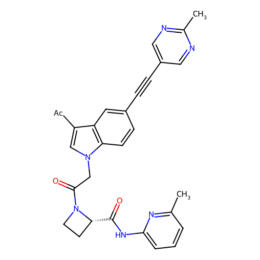 CC(=O)c1cn(CC(=O)N2CC[C@H]2C(=O)Nc2cccc(C)n2)c2ccc(C#Cc3cnc(C)nc3)cc12